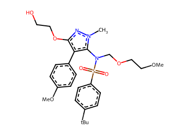 COCCOCN(c1c(-c2ccc(OC)cc2)c(OCCO)nn1C)S(=O)(=O)c1ccc(C(C)(C)C)cc1